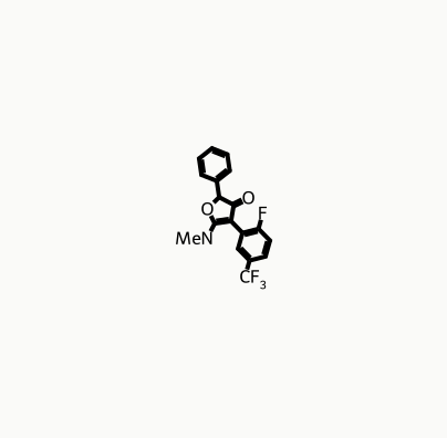 CNC1=C(c2cc(C(F)(F)F)ccc2F)C(=O)C(c2ccccc2)O1